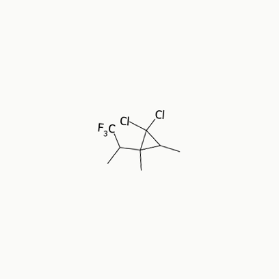 CC(C(F)(F)F)C1(C)C(C)C1(Cl)Cl